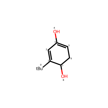 CC(C)(C)C1=CC(O)=CCC1O